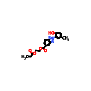 C=CC(=O)OCCOC(=O)c1ccc2nn(-c3cc(C)ccc3O)nc2c1